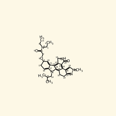 CCN(CC)C(=O)COC1C=c2c(n(CC(C)C)c3c4c(c5c(c23)CNC5=O)-c2cn(C)nc2CC4)=CC1